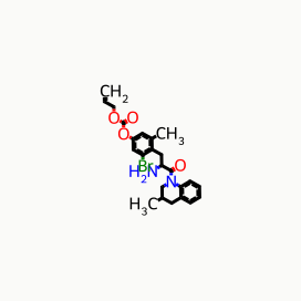 C=CCOC(=O)Oc1cc(C)c(CC(N)C(=O)N2CC(C)Cc3ccccc32)c(Br)c1